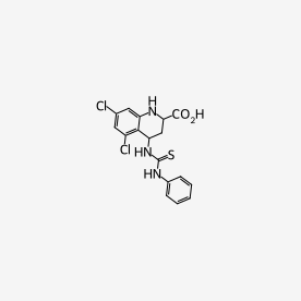 O=C(O)C1CC(NC(=S)Nc2ccccc2)c2c(Cl)cc(Cl)cc2N1